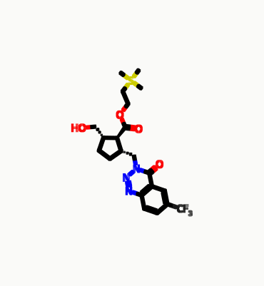 CS(C)(C)CCOC(=O)[C@@H]1[C@@H](CO)CC[C@H]1Cn1nnc2ccc(C(F)(F)F)cc2c1=O